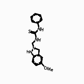 COc1ccc2c(c1)CN(CNC(=S)Nc1ccccc1)N2